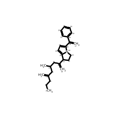 C=C(CCC)CC(C)CC(=C)C1CCn2c(C(=C)c3ccccc3)ccc21